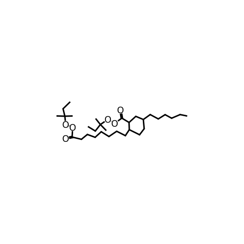 CCCCCCC1CCC(CCCCCCCC(=O)OOC(C)(C)CC)C(C(=O)OOC(C)(C)CC)C1